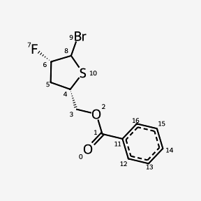 O=C(OC[C@@H]1C[C@H](F)C(Br)S1)c1ccccc1